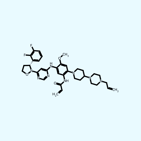 C=CCN1CCN(C2CCN(c3cc(OC)c(Nc4cc(N5OCC[C@@H]5c5cccc(F)c5F)ncn4)cc3NC(=O)C=C)CC2)CC1